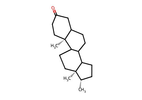 C[C@H]1CCC2C3CCC4CC(=O)CC[C@]4(C)C3CC[C@@]21C